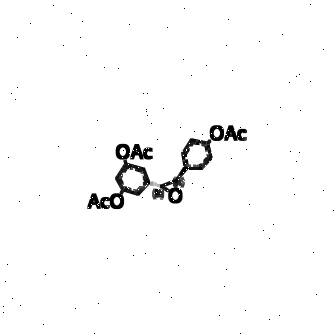 CC(=O)Oc1ccc([C@H]2O[C@@H]2c2cc(OC(C)=O)cc(OC(C)=O)c2)cc1